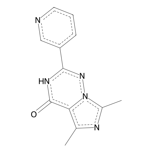 Cc1nc(C)n2nc(-c3cccnc3)[nH]c(=O)c12